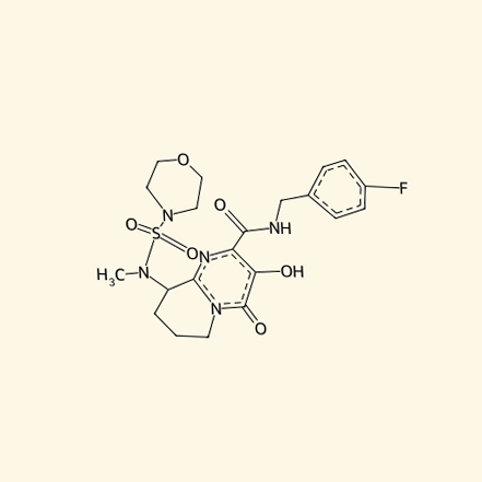 CN(C1CCCn2c1nc(C(=O)NCc1ccc(F)cc1)c(O)c2=O)S(=O)(=O)N1CCOCC1